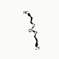 C#CCCOS(=O)OCCC#C